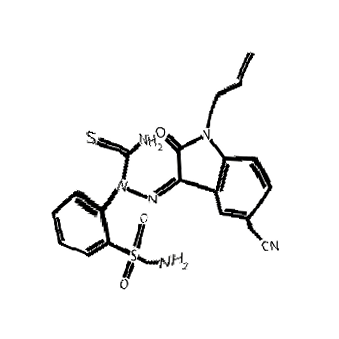 C=CCN1C(=O)/C(=N\N(C(N)=S)c2ccccc2S(N)(=O)=O)c2cc(C#N)ccc21